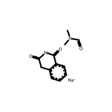 CN(C)C=O.O=C1Cc2ccccc2C(=O)[N-]1.[Na+]